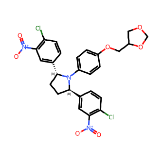 O=[N+]([O-])c1cc([C@H]2CC[C@H](c3ccc(Cl)c([N+](=O)[O-])c3)N2c2ccc(OCC3COCO3)cc2)ccc1Cl